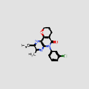 Cc1nc2c3c(c(=O)n(-c4cccc(Cl)c4)c2nc1C)CCCO3